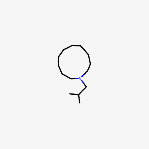 CC(C)CN1CCCCCCCCCC1